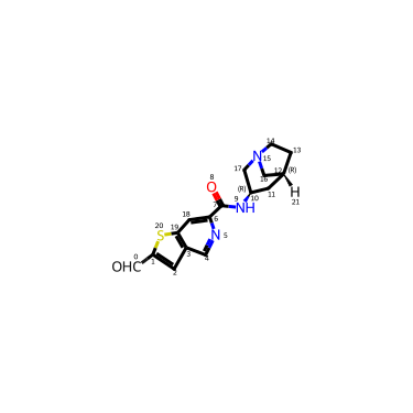 O=Cc1cc2cnc(C(=O)N[C@@H]3C[C@H]4CCN(C4)C3)cc2s1